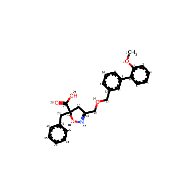 COc1ccccc1-c1cccc(COCC2=NOC(Cc3ccccc3)(C(=O)O)C2)c1